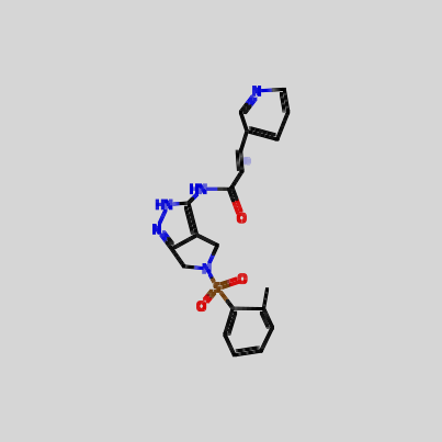 Cc1ccccc1S(=O)(=O)N1Cc2n[nH]c(NC(=O)/C=C/c3cccnc3)c2C1